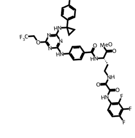 COC(=O)[C@H](CCNC(=O)C(=O)Nc1ccc(F)c(F)c1F)NC(=O)c1ccc(Nc2nc(NC3(c4ccc(Cl)cc4)CC3)nc(OCC(F)(F)F)n2)cc1